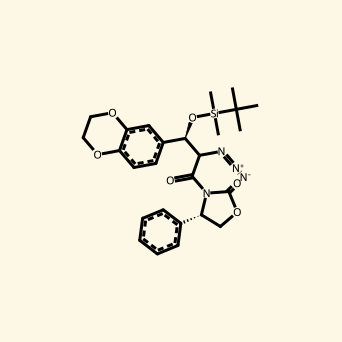 CC(C)(C)[Si](C)(C)O[C@H](c1ccc2c(c1)OCCO2)C(N=[N+]=[N-])C(=O)N1C(=O)OC[C@@H]1c1ccccc1